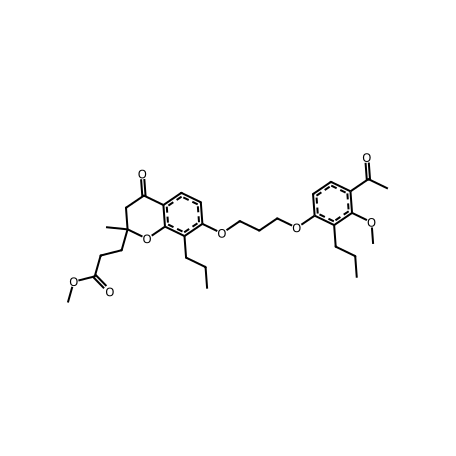 CCCc1c(OCCCOc2ccc3c(c2CCC)OC(C)(CCC(=O)OC)CC3=O)ccc(C(C)=O)c1OC